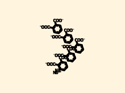 O=C([O-])c1ccccc1C(=O)[O-].O=C([O-])c1ccccc1C(=O)[O-].O=C([O-])c1ccccc1C(=O)[O-].O=C([O-])c1ccccc1C(=O)[O-].O=C([O-])c1ccccc1C(=O)[O-].[Nb+5].[Nb+5]